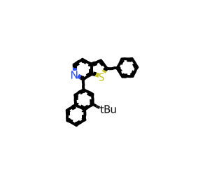 CC(C)(C)c1cc(-c2nccc3cc(-c4ccccc4)sc23)cc2ccccc12